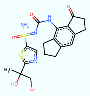 CC(O)(CO)c1ncc([S@@](N)(=O)=NC(=O)Nc2c3c(cc4c2C(=O)CC4)CCC3)s1